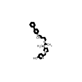 C\C(=N/C=C\C=C\N(C=O)c1ccc(-c2ccccc2)cc1)N(C)C1CCN(Cc2ccc(O)cn2)C1